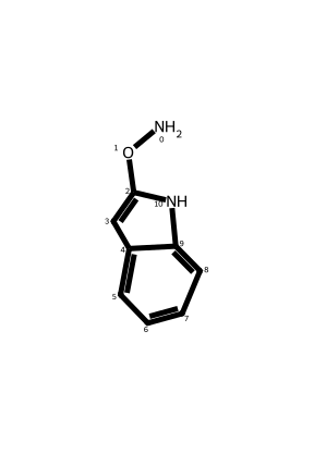 NOc1cc2ccccc2[nH]1